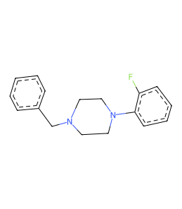 Fc1ccccc1N1CCN(Cc2ccccc2)CC1